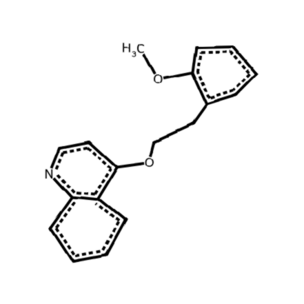 COc1ccccc1CCOc1ccnc2ccccc12